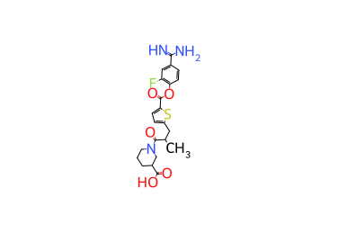 CC(Cc1ccc(C(=O)Oc2ccc(C(=N)N)cc2F)s1)C(=O)N1CCCC(C(=O)O)C1